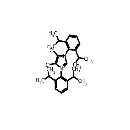 CC(C)c1cccc(C(C)C)c1-n1c[n+](-c2c(C(C)C)cccc2C(C)C)c(Cl)c1Cl